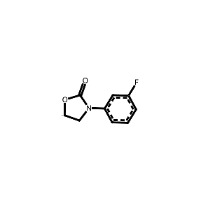 O=C1O[CH]CN1c1cccc(F)c1